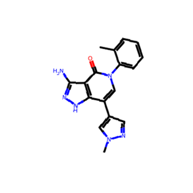 Cc1ccccc1-n1cc(-c2cnn(C)c2)c2[nH]nc(N)c2c1=O